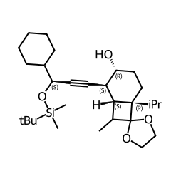 CC1[C@@H]2[C@@H](C#C[C@@H](O[Si](C)(C)C(C)(C)C)C3CCCCC3)[C@H](O)CC[C@]2(C(C)C)C12OCCO2